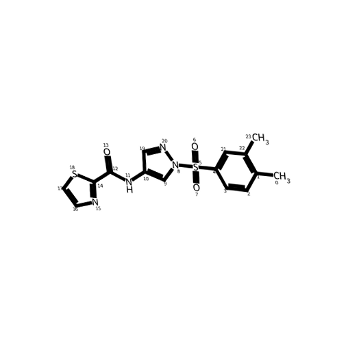 Cc1ccc(S(=O)(=O)n2cc(NC(=O)c3nccs3)cn2)cc1C